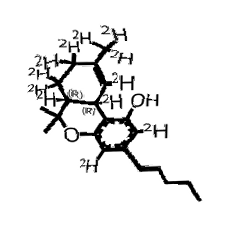 [2H]C1=C(C([2H])([2H])[2H])C([2H])([2H])C([2H])([2H])[C@@]2([2H])C(C)(C)Oc3c([2H])c(CCCCC)c([2H])c(O)c3[C@]12[2H]